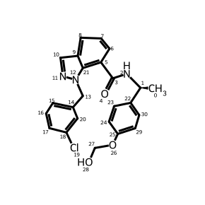 C[C@H](NC(=O)c1cccc2cnn(Cc3cccc(Cl)c3)c12)c1ccc(OCO)cc1